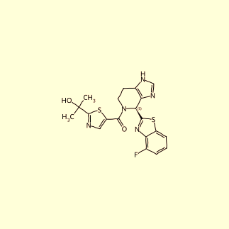 CC(C)(O)c1ncc(C(=O)N2CCc3[nH]cnc3[C@H]2c2nc3c(F)cccc3s2)s1